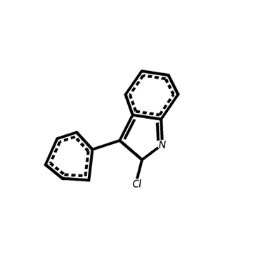 ClC1N=c2ccccc2=C1c1ccccc1